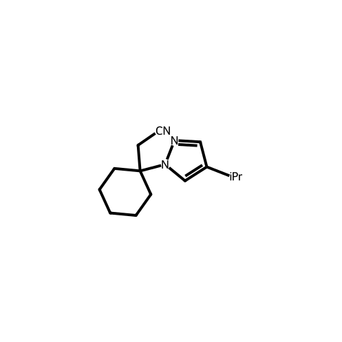 CC(C)c1cnn(C2(CC#N)CCCCC2)c1